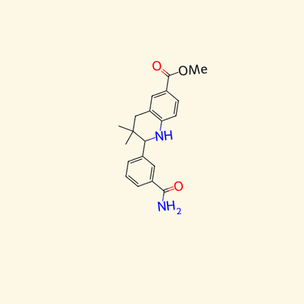 COC(=O)c1ccc2c(c1)CC(C)(C)C(c1cccc(C(N)=O)c1)N2